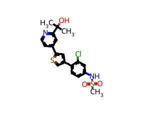 CC(C)(O)c1cc(-c2cc(-c3ccc(NS(C)(=O)=O)cc3Cl)cs2)ccn1